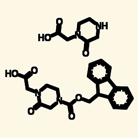 O=C(O)CN1CCN(C(=O)OCC2c3ccccc3-c3ccccc32)CC1=O.O=C(O)CN1CCNCC1=O